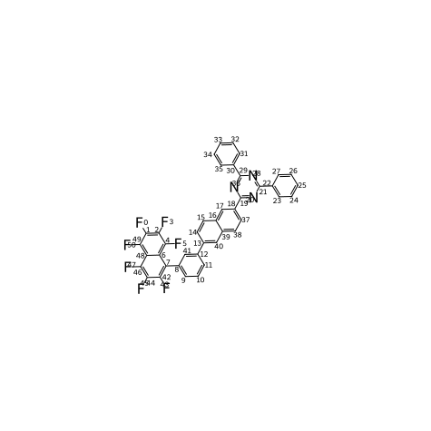 Fc1c(F)c(F)c2c(-c3cccc(-c4ccc5cc(-c6nc(-c7ccccc7)nc(-c7ccccc7)n6)ccc5c4)c3)c(F)c(F)c(F)c2c1F